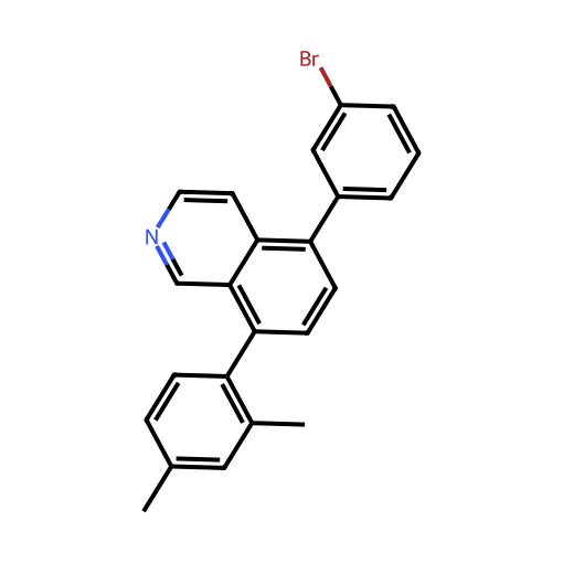 Cc1ccc(-c2ccc(-c3cccc(Br)c3)c3ccncc23)c(C)c1